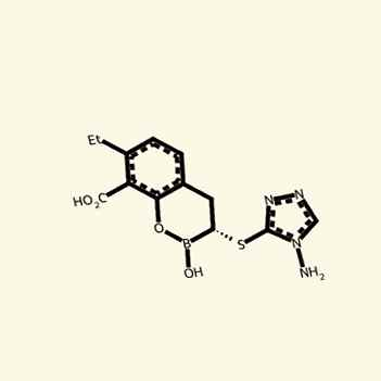 CCc1ccc2c(c1C(=O)O)OB(O)[C@@H](Sc1nncn1N)C2